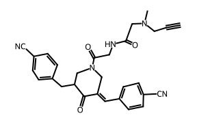 C#CCN(C)CC(=O)NCC(=O)N1C/C(=C\c2ccc(C#N)cc2)C(=O)C(Cc2ccc(C#N)cc2)C1